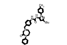 Cc1ccc(-n2nc(C(C)(C)C)cc2NC(=O)Nc2ccc(CN3CCCN(c4ccccc4)C(=O)C3)cc2)cc1